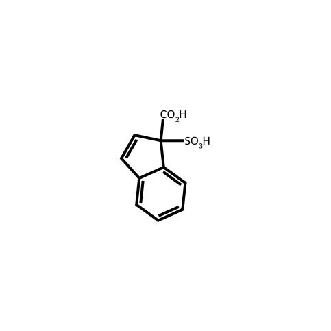 O=C(O)C1(S(=O)(=O)O)C=Cc2ccccc21